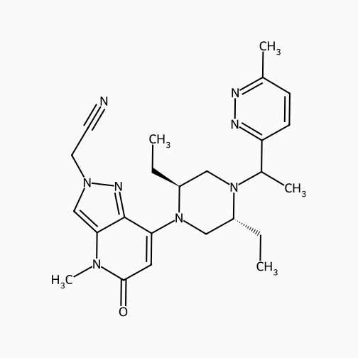 CC[C@H]1CN(C(C)c2ccc(C)nn2)[C@H](CC)CN1c1cc(=O)n(C)c2cn(CC#N)nc12